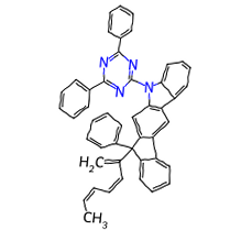 C=C(/C=C\C=C/C)C1(c2ccccc2)c2ccccc2-c2cc3c4ccccc4n(-c4nc(-c5ccccc5)nc(-c5ccccc5)n4)c3cc21